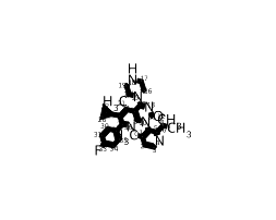 Cc1ccnc(C(C)C)c1-n1c(=O)nc(N2CCNC[C@@H]2C)c2cc(C3CC3)c(-c3ccc(F)cc3)nc21